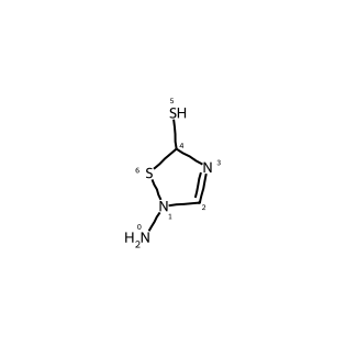 NN1C=NC(S)S1